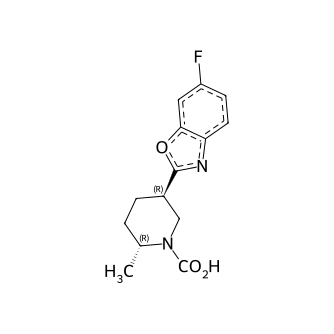 C[C@@H]1CC[C@@H](c2nc3ccc(F)cc3o2)CN1C(=O)O